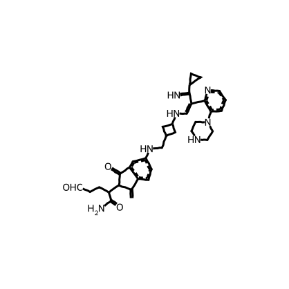 C=C1c2ccc(NCC3CC(N/C=C(\C(=N)C4CC4)c4ncccc4N4CCNCC4)C3)cc2C(=O)C1C(CCC=O)C(N)=O